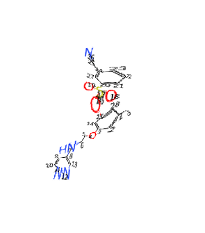 Cc1cc(OCCNc2ccnnc2)cc(OS(=O)(=O)c2cccc(C#N)c2)c1